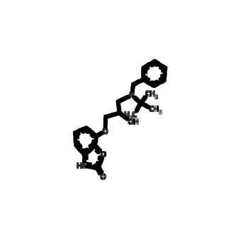 CC(C)(C)N(Cc1ccccc1)CC(O)COc1cccc2[nH]c(=O)oc12